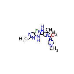 CCc1ncc(F)c(Nc2n[nH]c3c2CN(C(=O)N2CCN(C)CC2)C3(C)C)n1